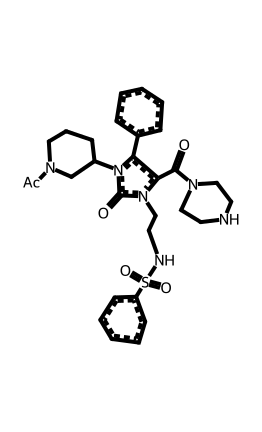 CC(=O)N1CCCC(n2c(-c3ccccc3)c(C(=O)N3CCNCC3)n(CCNS(=O)(=O)c3ccccc3)c2=O)C1